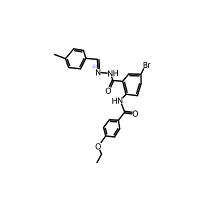 CCOc1ccc(C(=O)Nc2ccc(Br)cc2C(=O)N/N=C/c2ccc(C)cc2)cc1